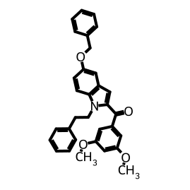 COc1cc(OC)cc(C(=O)c2cc3cc(OCc4ccccc4)ccc3n2CCc2ccccc2)c1